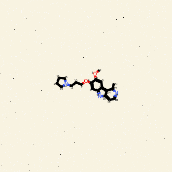 COc1cc2c(cc1OCCCN1CCCC1)=NC1=CC=NC(C)C=21